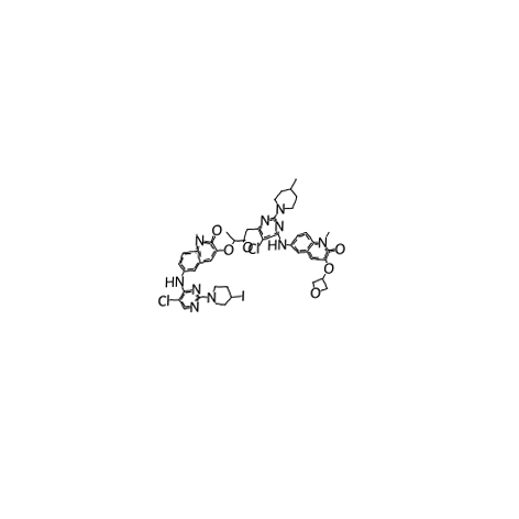 CC1CCN(c2nc(CC(=O)C(C)Oc3cc4cc(Nc5nc(N6CCC(I)CC6)ncc5Cl)ccc4n(C)c3=O)c(Cl)c(Nc3ccc4c(c3)cc(OC3COC3)c(=O)n4C)n2)CC1